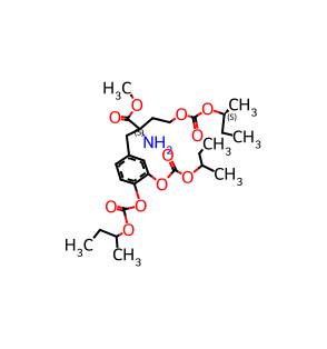 CCC(C)OC(=O)Oc1ccc(C[C@](N)(CCOC(=O)O[C@@H](C)CC)C(=O)OC)cc1OC(=O)OC(C)CC